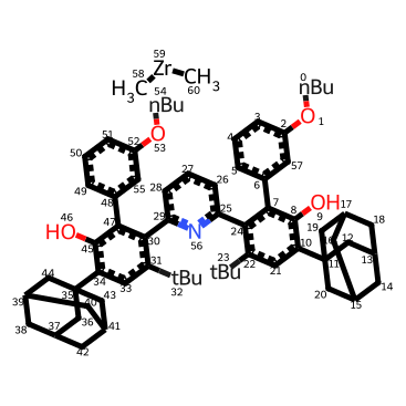 CCCCOc1cccc(-c2c(O)c(C34CC5CC(CC(C5)C3)C4)cc(C(C)(C)C)c2-c2cccc(-c3c(C(C)(C)C)cc(C45CC6CC(CC(C6)C4)C5)c(O)c3-c3cccc(OCCCC)c3)n2)c1.[CH3][Zr][CH3]